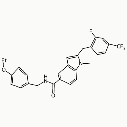 CCOc1ccc(CNC(=O)c2ccc3c(c2)cc(Cc2ccc(C(F)(F)F)cc2F)n3C)cc1